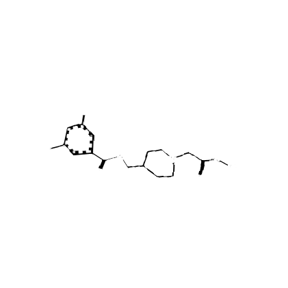 CC(C)(C)NC(=O)CN1CCC(CNC(=O)c2cc(F)cc(I)c2)CC1